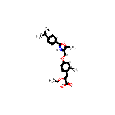 CCOC(=Cc1ccc(OCc2nc(-c3ccc(C(C)C)cc3)oc2C)cc1C)C(=O)O